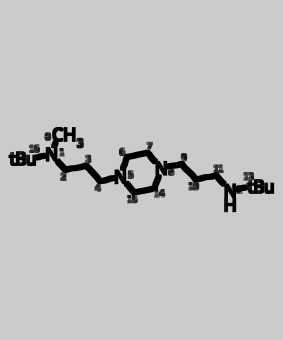 CN(CCCN1CCN(CCCNC(C)(C)C)CC1)C(C)(C)C